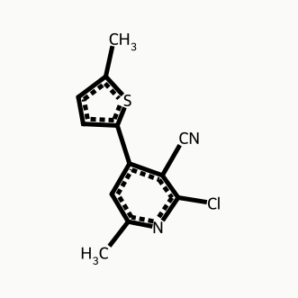 Cc1cc(-c2ccc(C)s2)c(C#N)c(Cl)n1